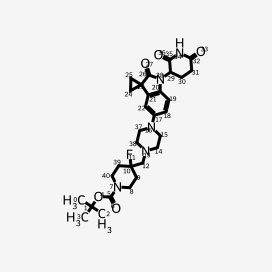 CC(C)(C)OC(=O)N1CCC(F)(CN2CCN(c3ccc4c(c3)C3(CC3)C(=O)N4C3CCC(=O)NC3=O)CC2)CC1